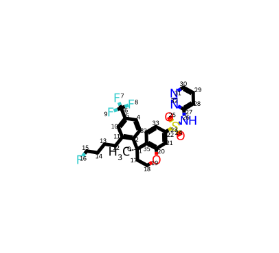 C[C@@]1(c2ccc(C(F)(F)F)cc2CCCCF)CCOc2cc(S(=O)(=O)Nc3cccnn3)ccc21